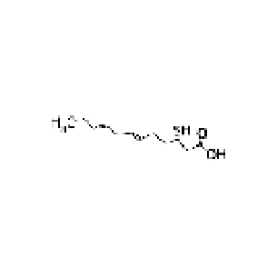 CCC=CCC=CCCC(S)CC(=O)O